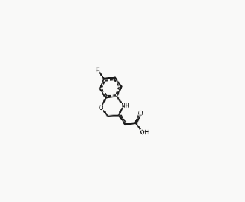 O=C(O)/C=C1/COc2cc(F)ccc2N1